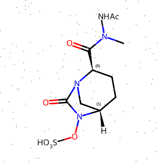 CC(=O)NN(C)C(=O)[C@H]1CC[C@H]2CN1C(=O)N2OS(=O)(=O)O